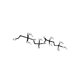 CCC(C)(C)CCC(C)(C)C(=O)NC(C)(CC)CNC(C)(C)CCN